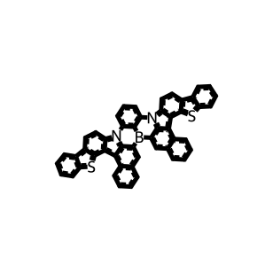 c1cc2c3c(c1)-n1c4ccc5c6ccccc6sc5c4c4c5ccccc5cc(c41)B3c1cc3ccccc3c3c4c5sc6ccccc6c5ccc4n-2c13